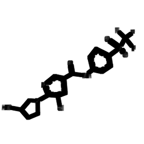 O=C(Nc1ccc(S(=O)(=O)C(F)(F)F)cc1)c1cnc(N2CCC(O)C2)c(Cl)c1